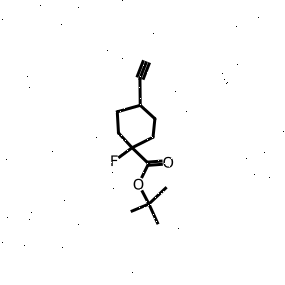 C#CC1CCC(F)(C(=O)OC(C)(C)C)CC1